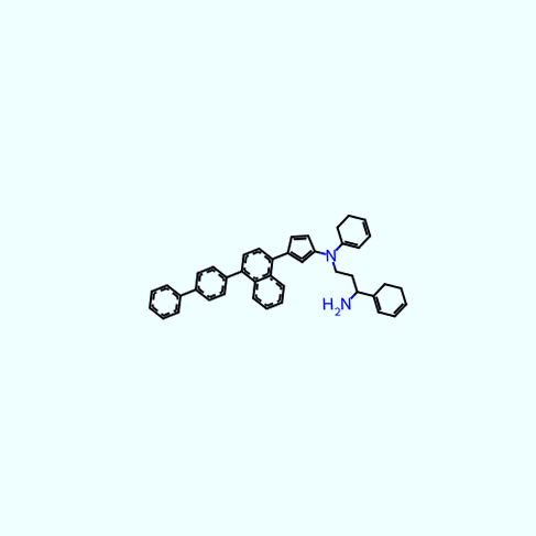 NC(CCN(C1=C=C(c2ccc(-c3ccc(-c4ccccc4)cc3)c3ccccc23)C=C1)C1=CC=CCC1)C1=CC=CCC1